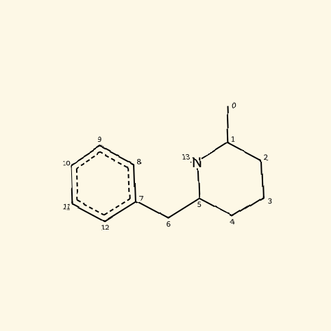 CC1CCCC(Cc2ccccc2)[N]1